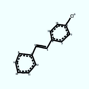 Clc1ccc(C=Cc2[c]cccc2)cc1